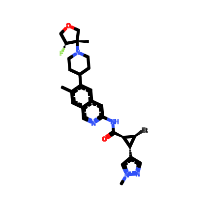 CC[C@@H]1[C@H](C(=O)Nc2cc3cc(C4CCN([C@@]5(C)COC[C@H]5F)CC4)c(C)cc3cn2)[C@H]1c1cnn(C)c1